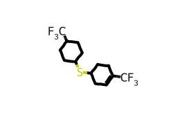 FC(F)(F)C1=CCC(SC2CCC(C(F)(F)F)CC2)CC1